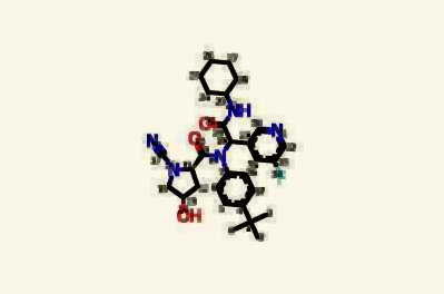 CC(C)(C)c1ccc(N(C(=O)[C@H]2C[C@@H](O)CN2C#N)C(C(=O)NC2CCCCC2)c2cncc(F)c2)cc1